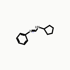 C(=N\c1ccccc1)/NC1CCCC1